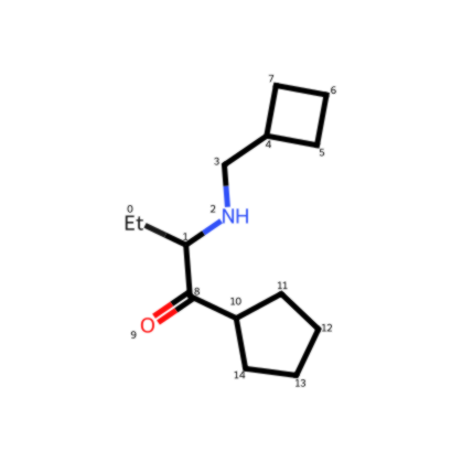 CCC(NCC1CCC1)C(=O)C1CCCC1